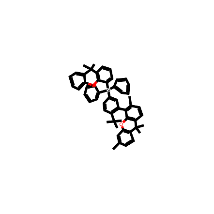 Cc1ccc2c(c1)Oc1c(ccc(C)c1-c1cc([Si](c3ccccc3)(c3ccccc3)c3cccc4c3Oc3ccccc3C4(C)C)ccc1C(C)(C)C)C2(C)C